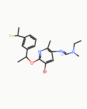 CCN(C)/C=N/c1cc(Br)c(OC(C)c2cccc(C(C)F)c2)nc1C